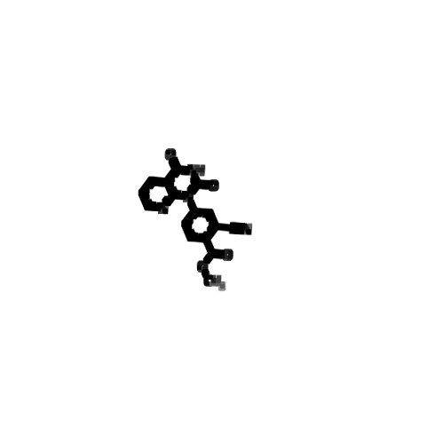 COC(=O)c1ccc(-n2c(=O)[nH]c(=O)c3cccnc32)cc1C#N